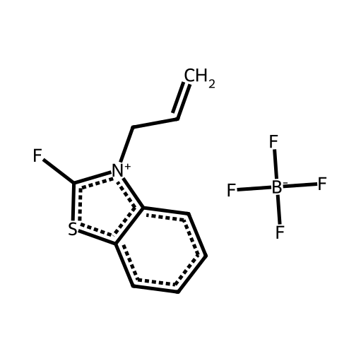 C=CC[n+]1c(F)sc2ccccc21.F[B-](F)(F)F